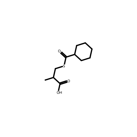 CC(CSC(=O)C1CCCCC1)C(=O)O